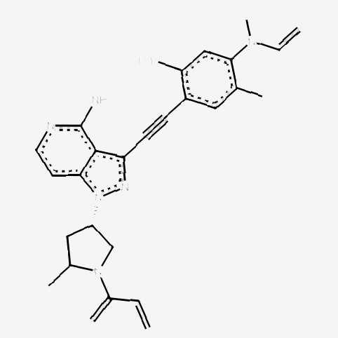 C=CC(=C)N1C[C@@H](n2nc(C#Cc3cc(C)c(N(C=C)CC)cc3P)c3c(N)nccc32)CC1C